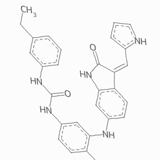 CCc1cccc(NC(=O)Nc2ccc(C)c(Nc3ccc4c(c3)NC(=O)C4=Cc3ccc[nH]3)c2)c1